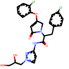 O=C(Nc1ccn(CC(O)CO)n1)C(Cc1ccc(Cl)cc1)N1CC(Oc2ccccc2Cl)=CC1=O